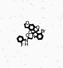 O=C(CN1C(=O)C2(COc3cc4c(cc32)CCO4)c2c(Br)cccc21)Nc1ccccc1F